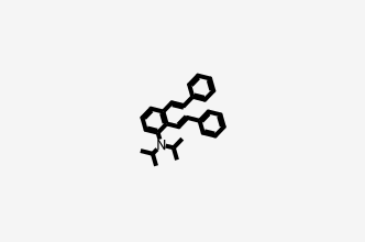 CC(C)N(c1cccc(C=Cc2ccccc2)c1C=Cc1ccccc1)C(C)C